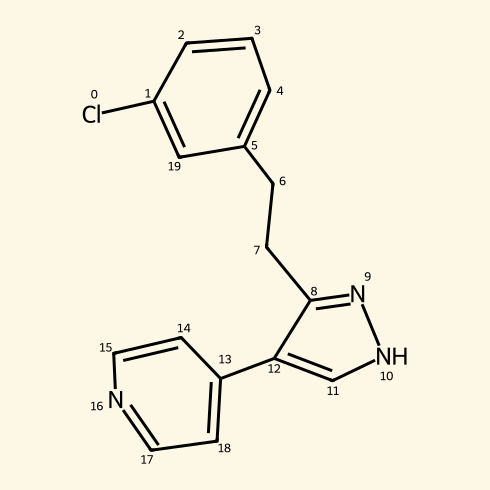 Clc1cccc(CCc2n[nH]cc2-c2ccncc2)c1